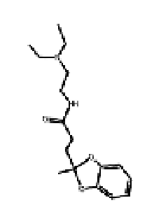 CCN(CC)CCNC(=O)CCC1(C)Oc2ccccc2O1